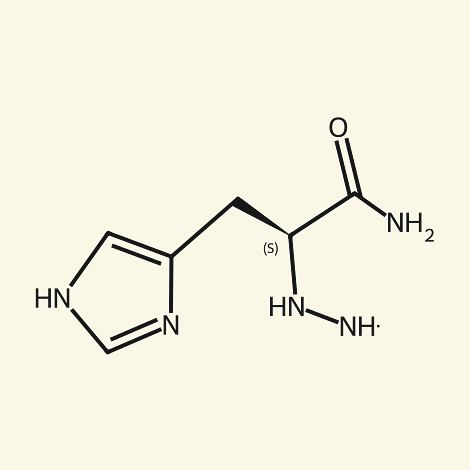 [NH]N[C@@H](Cc1c[nH]cn1)C(N)=O